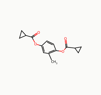 Cc1cc(OC(=O)C2CC2)ccc1OC(=O)C1CC1